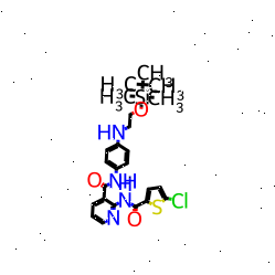 CC(C)(C)[Si](C)(C)OCCNc1ccc(NC(=O)c2cccnc2NC(=O)c2ccc(Cl)s2)cc1